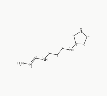 NN=CNCCCNC1CC[N]C1